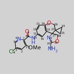 COc1cc(Cl)cnc1C(=O)Nc1ccc2c(c1)C1(COC(N)=N1)C1(CC1)CO2